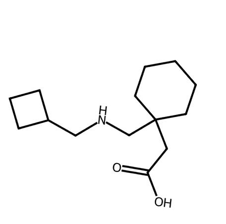 O=C(O)CC1(CNCC2CCC2)CCCCC1